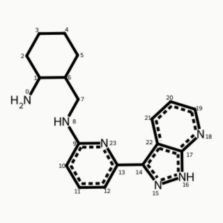 NC1CCCCC1CNc1cccc(-c2n[nH]c3ncccc23)n1